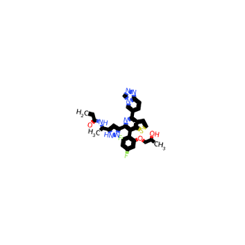 C=CC(=O)NC(C)c1cc(-c2nc(-c3ccc4nncn4c3)c3ccsc3c2-c2c(F)cc(F)cc2OCC(C)O)n[nH]1